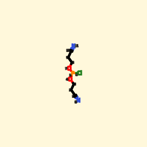 N#CCCOP(Cl)OCCC#N